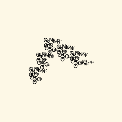 [K+].[N-]=[N+]=NS(=O)(=O)OS(=O)(=O)[O-].[N-]=[N+]=NS(=O)(=O)OS(=O)(=O)[O-].[N-]=[N+]=NS(=O)(=O)OS(=O)(=O)[O-].[N-]=[N+]=NS(=O)(=O)OS(=O)(=O)[O-].[N-]=[N+]=NS(=O)(=O)OS(=O)(=O)[O-].[Zr+4]